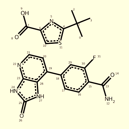 CC(C)(C)c1nc(C(=O)O)cs1.NC(=O)c1ccc(-c2ccnc3[nH]c(=O)[nH]c23)cc1F